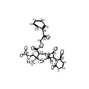 C[C@@]1(CO[N+](=O)[O-])S[C@H]2C(N3C(=O)CCCC3=O)C(=O)N2C1C(=O)OCC(=O)c1ccccc1